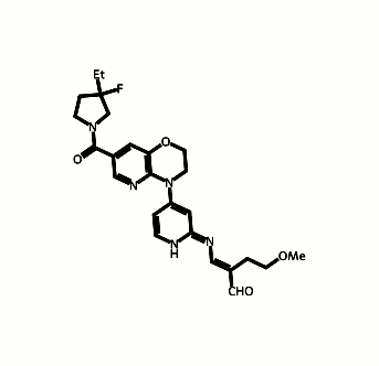 CCC1(F)CCN(C(=O)c2cnc3c(c2)OCCN3c2cc[nH]/c(=N\C=C(\C=O)CCOC)c2)C1